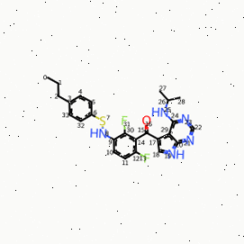 CCCc1ccc(SNc2ccc(F)c(C(=O)c3c[nH]c4ncnc(NC(C)C)c34)c2F)cc1